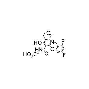 O=C(O)CNC(=O)c1c(O)c2c(n(Cc3ccc(F)cc3F)c1=O)COCC2